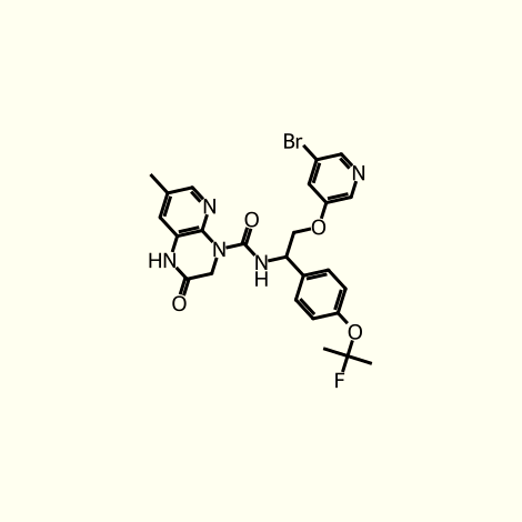 Cc1cnc2c(c1)NC(=O)CN2C(=O)NC(COc1cncc(Br)c1)c1ccc(OC(C)(C)F)cc1